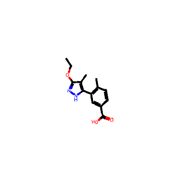 CCOc1n[nH]c(-c2cc(C(=O)O)ccc2C)c1C